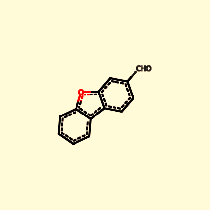 O=Cc1ccc2c(c1)oc1ccccc12